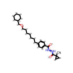 N#CC1(C(=O)NNC(=O)c2ccc(CCCCCCCOCC3CCCCC3)cc2)CC1